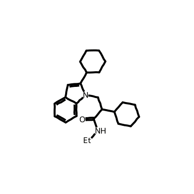 CCNC(=O)C(Cn1c(C2CCCCC2)cc2ccccc21)C1CCCCC1